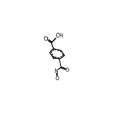 O=NC(=O)c1ccc(C(=O)O)cc1